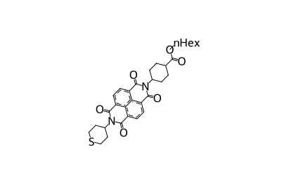 CCCCCCOC(=O)C1CCC(N2C(=O)c3ccc4c5c(ccc(c35)C2=O)C(=O)N(C2CCSCC2)C4=O)CC1